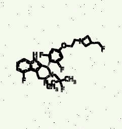 C[C@H]1Cc2c([nH]c3cccc(F)c23)[C@H](c2c(F)cc(OCCN3CC(CF)C3)cc2F)N1CC(C)(C)F